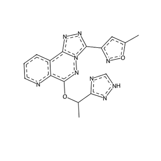 Cc1cc(-c2nnc3c4cccnc4c(OC(C)c4nc[nH]n4)nn23)no1